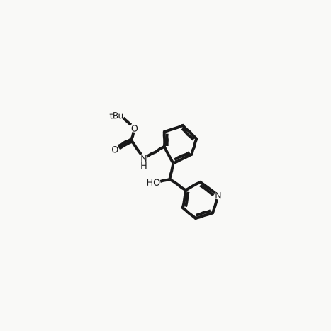 CC(C)(C)OC(=O)Nc1ccccc1C(O)c1cccnc1